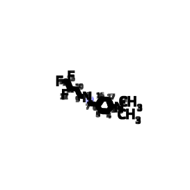 CN(C)c1ccc(/C=N/CCC(F)=C(F)F)cc1